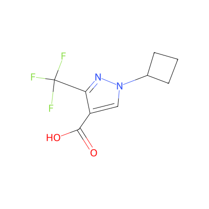 O=C(O)c1cn(C2CCC2)nc1C(F)(F)F